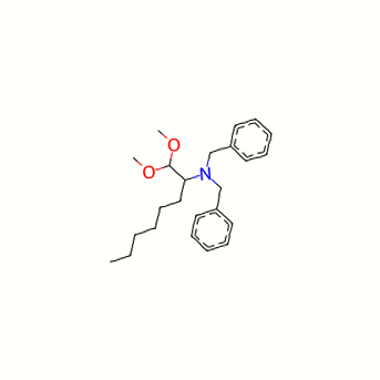 CCCCCCC(C(OC)OC)N(Cc1ccccc1)Cc1ccccc1